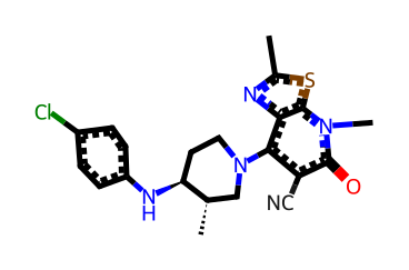 Cc1nc2c(N3CC[C@H](Nc4ccc(Cl)cc4)[C@@H](C)C3)c(C#N)c(=O)n(C)c2s1